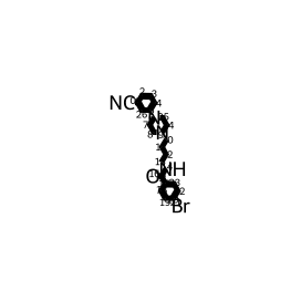 N#Cc1cccc(N2CCN(CCCCNC(=O)c3ccc(Br)cc3)CC2)c1